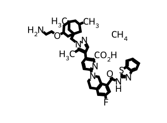 C.Cc1c(-c2ccc(N3CCc4cc(F)cc(C(=O)Nc5nc6ccccc6s5)c4C3)nc2C(=O)O)cnn1CC12CC(C)CC(C)(CC(OCCN)C1)C2